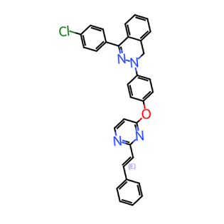 Clc1ccc(C2=NN(c3ccc(Oc4ccnc(/C=C/c5ccccc5)n4)cc3)Cc3ccccc32)cc1